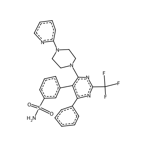 NS(=O)(=O)c1cccc(-c2c(-c3ccccc3)nc(C(F)(F)F)nc2N2CCN(c3ccccn3)CC2)c1